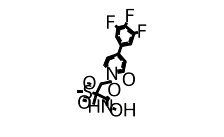 CC(CCn1ccc(-c2cc(F)c(F)c(F)c2)cc1=O)(C(=O)NO)S(C)(=O)=O